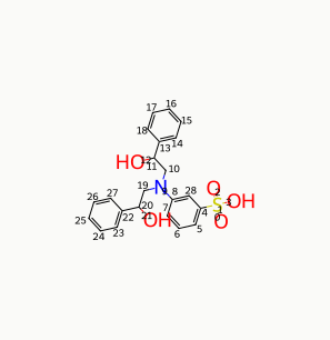 O=S(=O)(O)c1cccc(N(CC(O)c2ccccc2)CC(O)c2ccccc2)c1